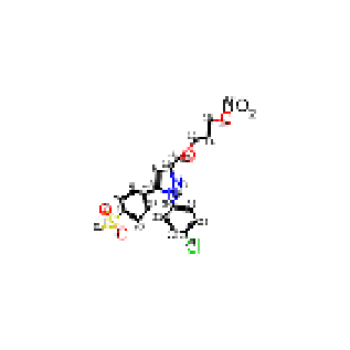 CS(=O)(=O)c1ccc(-c2cc(COCCCO[N+](=O)[O-])nn2-c2ccc(Cl)cc2)cc1